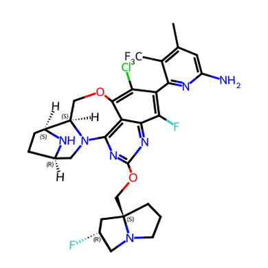 Cc1cc(N)nc(-c2c(Cl)c3c4c(nc(OC[C@@]56CCCN5C[C@H](F)C6)nc4c2F)N2C[C@H]4CC[C@H](N4)[C@H]2CO3)c1C(F)(F)F